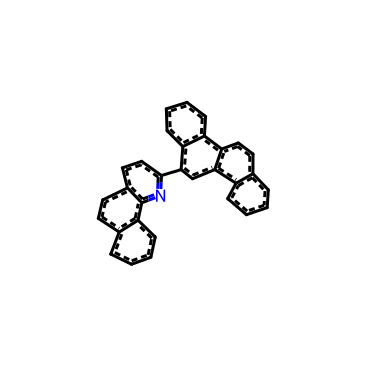 c1ccc2c(c1)ccc1c3ccccc3c(-c3ccc4ccc5ccccc5c4n3)cc21